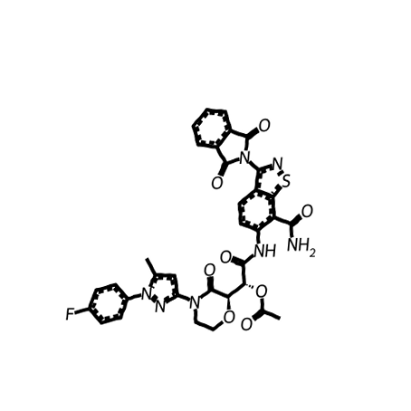 CC(=O)O[C@@H](C(=O)Nc1ccc2c(N3C(=O)c4ccccc4C3=O)nsc2c1C(N)=O)[C@H]1OCCN(c2cc(C)n(-c3ccc(F)cc3)n2)C1=O